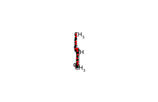 CCCCCCCCCCCCc1ccc(NCCCCCCCCCCC(=O)OC)cc1